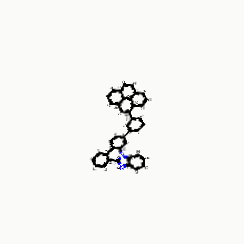 c1cc(-c2ccc3c4ccccc4c4nc5ccccc5n4c3c2)cc(-c2cc3cccc4ccc5cccc2c5c43)c1